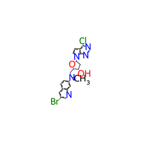 CN(CC1OC(n2ccc3c(Cl)ncnc32)CC1O)c1ccc2cc(Br)cnc2c1